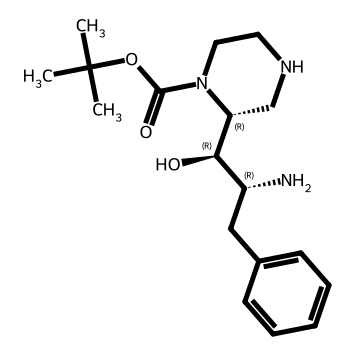 CC(C)(C)OC(=O)N1CCNC[C@@H]1[C@H](O)[C@H](N)Cc1ccccc1